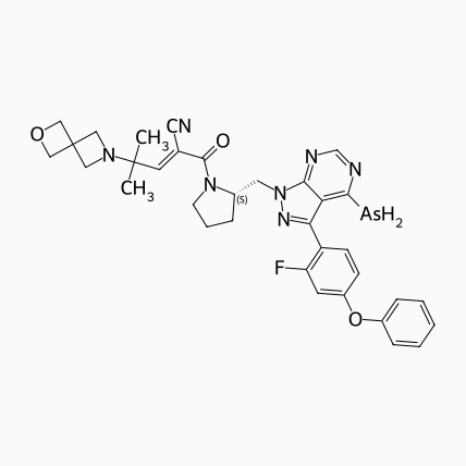 CC(C)(C=C(C#N)C(=O)N1CCC[C@H]1Cn1nc(-c2ccc(Oc3ccccc3)cc2F)c2c([AsH2])ncnc21)N1CC2(COC2)C1